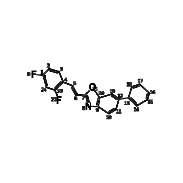 Fc1ccc(C=Cc2nc3ccc(-c4ccccc4)cc3o2)c(F)c1